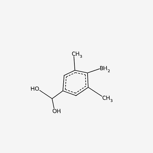 Bc1c(C)cc(C(O)O)cc1C